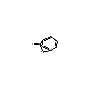 O=C1Oc2cccc1n2